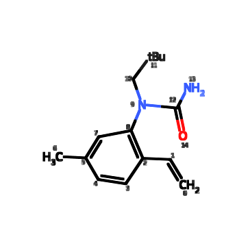 C=Cc1ccc(C)cc1N(CC(C)(C)C)C(N)=O